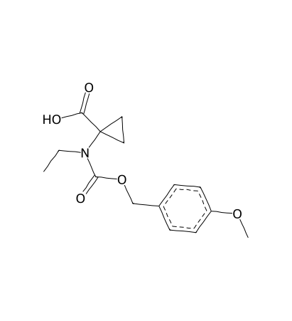 CCN(C(=O)OCc1ccc(OC)cc1)C1(C(=O)O)CC1